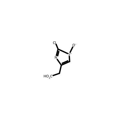 O=C(O)Cc1c[s+]([O-])c(Cl)n1